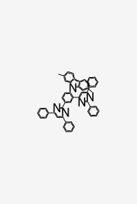 Cc1ccc2c3ccc(C)cc3n(-c3ccc(-c4nc(-c5ccccc5)cc(-c5ccccc5)n4)cc3-c3cc(-c4ccccc4)nc(-c4ccccc4)n3)c2c1